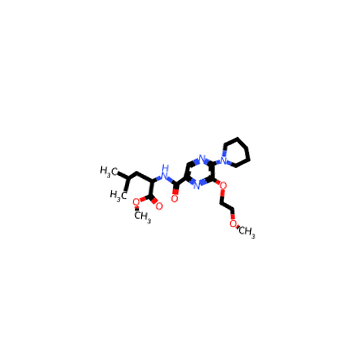 COCCOc1nc(C(=O)NC(CC(C)C)C(=O)OC)cnc1N1CCCCC1